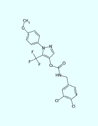 COc1ccc(-n2ncc(OC(=O)NCc3ccc(Cl)c(Cl)c3)c2C(F)(F)F)cc1